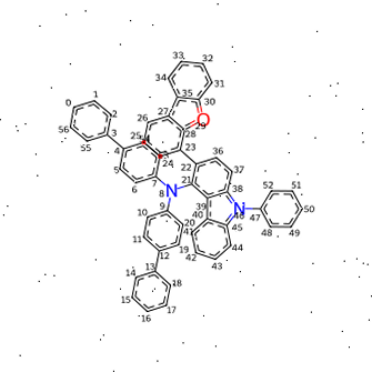 c1ccc(-c2ccc(N(c3ccc(-c4ccccc4)cc3)c3c(-c4cccc5c4oc4ccccc45)ccc4c3c3ccccc3n4-c3ccccc3)cc2)cc1